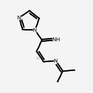 CC(C)=N/C=C\C(=N)n1ccnc1